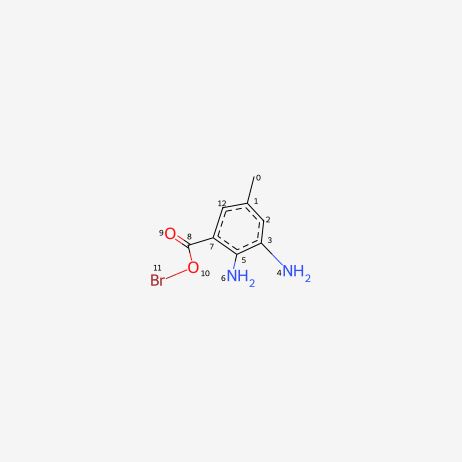 Cc1cc(N)c(N)c(C(=O)OBr)c1